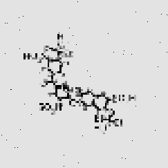 CCC(C)(CC)Oc1cc2cc(Oc3ccc(C(=O)c4ccc(C(C)(CC)CC)c(S(=O)(=O)O)c4)cc3S(=O)(=O)O)c(S(=O)(=O)O)cc2cc1S(=O)(=O)O